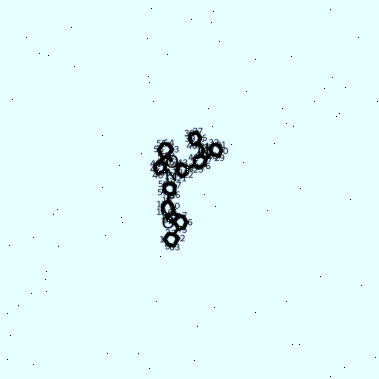 c1ccc(-c2cccc3c2oc2ccc(-c4ccc(N(c5ccc(-c6ccc7c8ccccc8n(-c8ccccc8)c7c6)cc5)c5cccc6c5oc5ccccc56)cc4)cc23)cc1